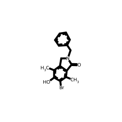 Cc1c(O)c(Br)c(C)c2c1CN(Cc1ccccc1)C2=O